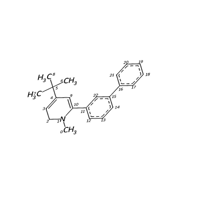 CN1CC=C(C(C)(C)C)C=C1c1cccc(-c2ccccc2)c1